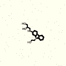 OCCn1c2ccccc2c2ccc(NCC(O)CO)cc21